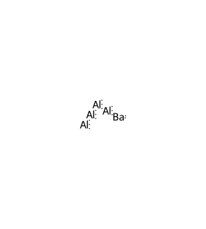 [Al].[Al].[Al].[Al].[Ba]